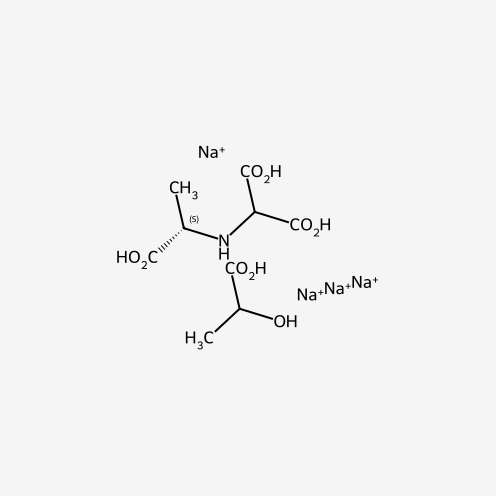 CC(O)C(=O)O.C[C@H](NC(C(=O)O)C(=O)O)C(=O)O.[Na+].[Na+].[Na+].[Na+]